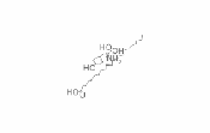 CCCCCCCCCC=CC=CC=CC=CC=CC=CC(=O)O.N[C@@H](Cc1ccc(O)cc1)C(O)O